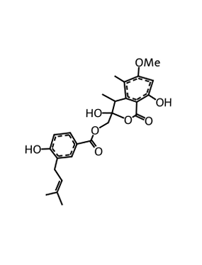 COc1cc(O)c2c(c1C)C(C)C(O)(COC(=O)c1ccc(O)c(CC=C(C)C)c1)OC2=O